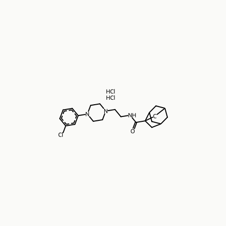 Cl.Cl.O=C(NCCN1CCN(c2cccc(Cl)c2)CC1)C12CC3CC(CC1C3)C2